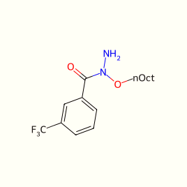 CCCCCCCCON(N)C(=O)c1cccc(C(F)(F)F)c1